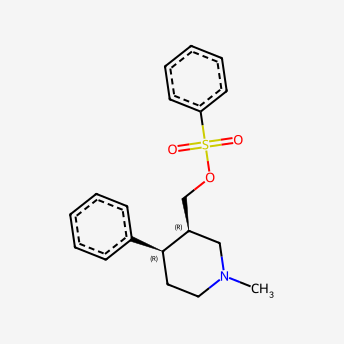 CN1CC[C@@H](c2ccccc2)[C@@H](COS(=O)(=O)c2ccccc2)C1